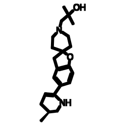 C[C@H]1CC=C(c2ccc3c(c2)CC2(CCN(CC(C)(C)O)CC2)O3)NC1